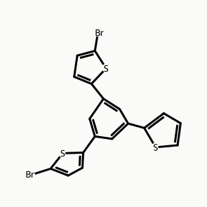 Brc1ccc(-c2cc(-c3cccs3)cc(-c3ccc(Br)s3)c2)s1